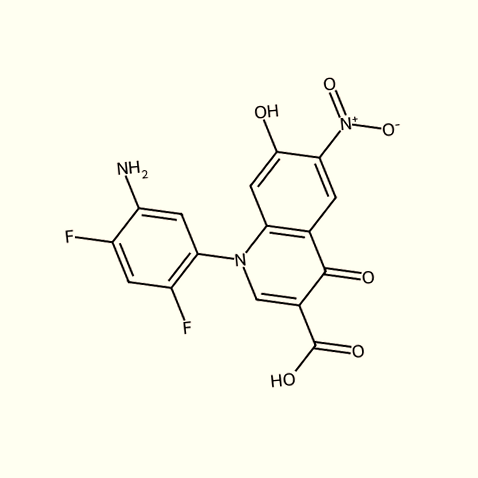 Nc1cc(-n2cc(C(=O)O)c(=O)c3cc([N+](=O)[O-])c(O)cc32)c(F)cc1F